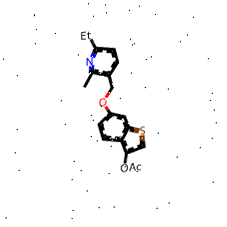 CCc1ccc(COc2ccc3c(OC(C)=O)csc3c2)c(C)n1